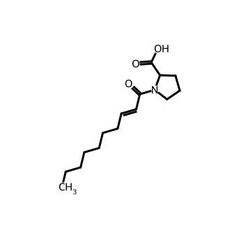 CCCCCCCC=CC(=O)N1CCCC1C(=O)O